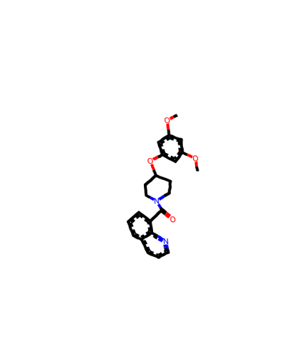 COc1cc(OC)cc(OC2CCN(C(=O)c3cccc4cccnc34)CC2)c1